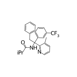 Cc1cccnc1C(Cc1ccccc1)(NC(=O)C(C)C)c1cccc(C(F)(F)F)c1